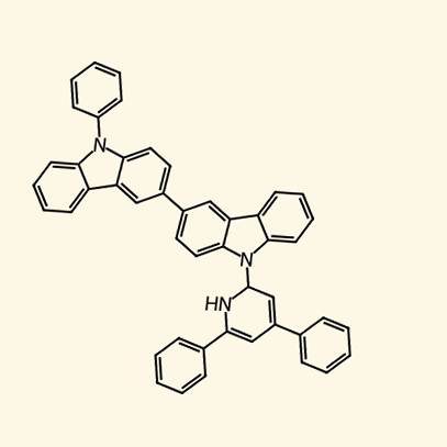 C1=C(c2ccccc2)C=C(c2ccccc2)NC1n1c2ccccc2c2cc(-c3ccc4c(c3)c3ccccc3n4-c3ccccc3)ccc21